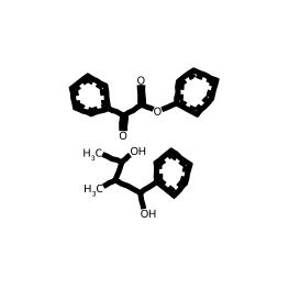 CC(O)C(C)C(O)c1ccccc1.O=C(Oc1ccccc1)C(=O)c1ccccc1